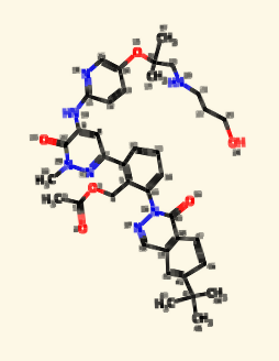 CC(=O)OCc1c(-c2cc(Nc3ccc(OC(C)(C)CNCCCO)cn3)c(=O)n(C)n2)cccc1-n1ncc2cc(C(C)(C)C)ccc2c1=O